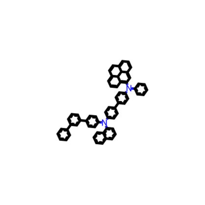 C1=CC2=CC(N(c3ccccc3)c3ccc(-c4ccc(N(c5ccc(-c6cccc(-c7ccccc7)c6)cc5)c5cccc6ccccc56)cc4)cc3)=C3C=CC=C4C=CC(=C1)C2C43